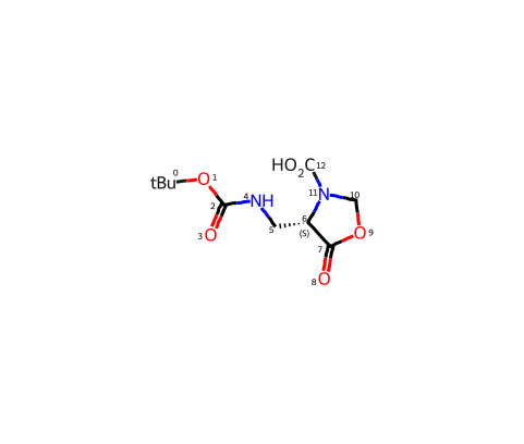 CC(C)(C)OC(=O)NC[C@H]1C(=O)OCN1C(=O)O